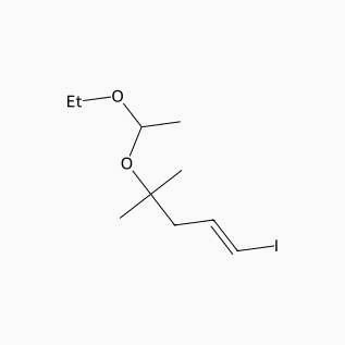 CCOC(C)OC(C)(C)CC=CI